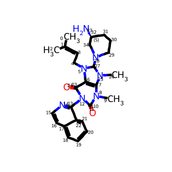 CC(C)=CCN1c2c(n(C)c(=O)n(-c3nccc4ccccc34)c2=O)N(C)C1N1CCC[C@H](N)C1